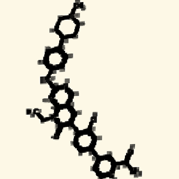 CCn1c(=O)c(-c2ccc(-c3ccnc(C(N)=O)c3)cc2Cl)cc2cnc(Nc3ccc(C4CCN(C)CC4)cc3)nc21